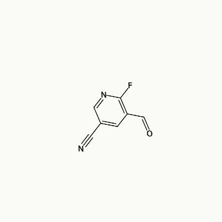 N#Cc1cnc(F)c(C=O)c1